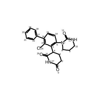 O=C1CCC(c2c(N3CCCNC3=O)ccc(-c3ccccc3)c2Cl)C(=O)N1